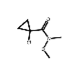 CON(C)C(=O)C1(Cl)CC1